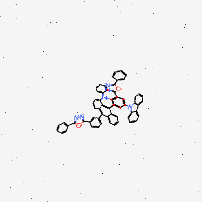 c1ccc(-c2nnc(-c3cccc(-c4c5ccccc5c(-c5cccc(-c6nnc(-c7ccccc7)o6)c5)c5c(N(c6ccccc6)c6ccc(-n7c8ccccc8c8ccccc87)cc6)cccc45)c3)o2)cc1